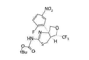 CC(C)(C)OC(=O)NC1=N[C@@]2(c3cc([N+](=O)[O-])ccc3F)CO[C@H](C(F)(F)F)[C@H]2CS1